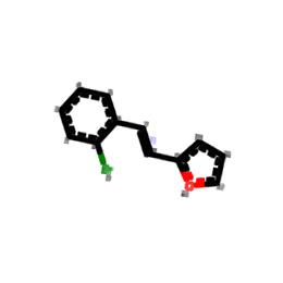 Brc1ccccc1/C=C/c1ccco1